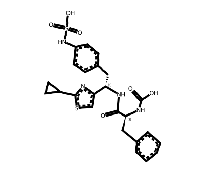 O=C(O)N[C@@H](Cc1ccccc1)C(=O)N[C@@H](Cc1ccc(NS(=O)(=O)O)cc1)c1csc(C2CC2)n1